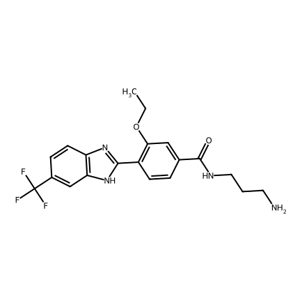 CCOc1cc(C(=O)NCCCN)ccc1-c1nc2ccc(C(F)(F)F)cc2[nH]1